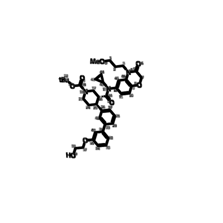 COCCCN1C(=O)COc2ccc(N(C(=O)[C@H]3CN(C(=O)OC(C)(C)C)CC[C@@H]3c3cccc(-c4cccc(OCCO)c4)c3)C3CC3)cc21